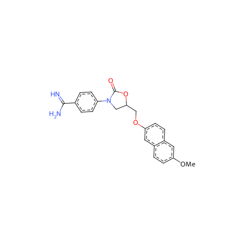 COc1ccc2cc(OCC3CN(c4ccc(C(=N)N)cc4)C(=O)O3)ccc2c1